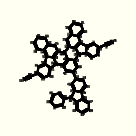 N#Cc1ccc2c(c1)c1c3ccccc3cc3c1n2-c1cc(-c2ccc4c5ccccc5n(-c5ccccc5)c4c2)cc2c1B3c1cc3ccccc3c3c4cc(C#N)ccc4n-2c13